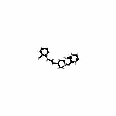 O=c1[nH]ccnc1CN1CCC(CCOc2ccccc2F)CC1